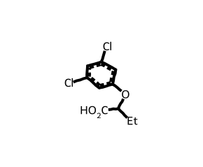 CCC(Oc1cc(Cl)cc(Cl)c1)C(=O)O